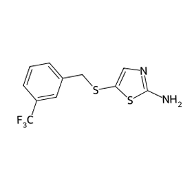 Nc1ncc(SCc2cccc(C(F)(F)F)c2)s1